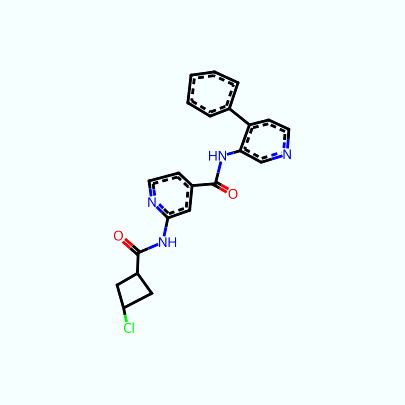 O=C(Nc1cnccc1-c1ccccc1)c1ccnc(NC(=O)C2CC(Cl)C2)c1